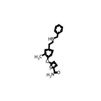 Cc1cc(CCNCc2ccccc2)ccc1Oc1ccc(C(N)=O)s1